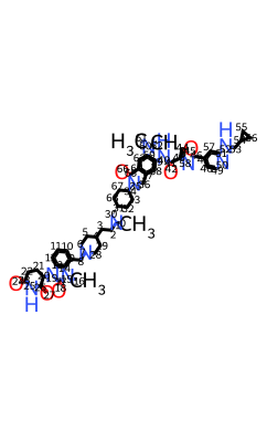 CN(CCC1CCN(Cc2cccc3c2n(C)c(=O)n3C2CCC(=O)NC2=O)CC1)C[C@H]1CC[C@H](N2Cc3cc(NC(=O)c4coc(-c5ccnc(NCC6CC6)c5)n4)c(N(C)C)cc3C2=O)CC1